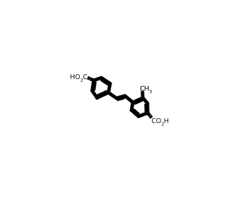 Cc1cc(C(=O)O)ccc1C=Cc1ccc(C(=O)O)cc1